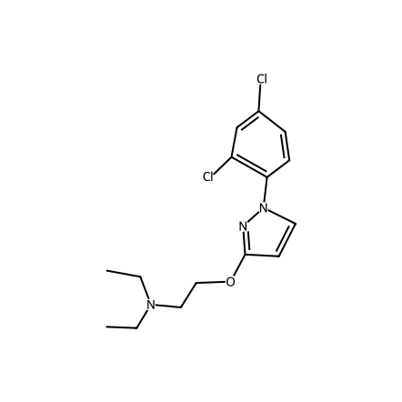 CCN(CC)CCOc1ccn(-c2ccc(Cl)cc2Cl)n1